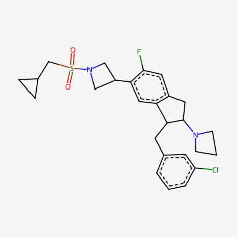 O=S(=O)(CC1CC1)N1CC(c2cc3c(cc2F)CC(N2CCC2)C3Cc2cccc(Cl)c2)C1